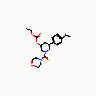 CCOC(=O)OC1CC(c2ccc(CC)cc2)CN(C(=O)N2CCOCC2)C1